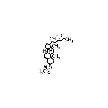 CC(C)CCC[C@@H](C)C1CC[C@H]2[C@H]3CC=C4C[C@@H](OS(C)(=O)=O)CCC4(C)C3CCC12C